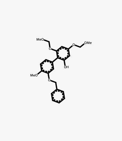 COCOc1[c]c(O)c(-c2ccc(OC)c(OCc3ccccc3)c2)c(OCOC)c1